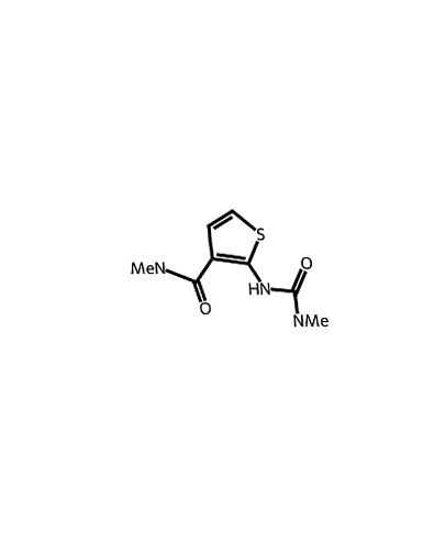 CNC(=O)Nc1sccc1C(=O)NC